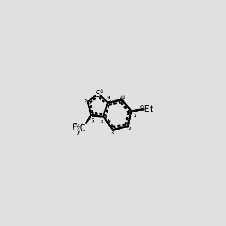 CCc1ccc2c(C(F)(F)F)csc2c1